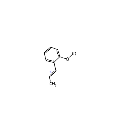 C/C=C/c1ccccc1OCC